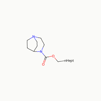 CCCCCCCCOC(=O)N1CCN2CCC1CC2